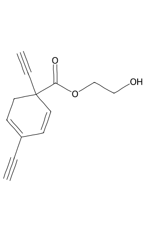 C#CC1=CCC(C#C)(C(=O)OCCO)C=C1